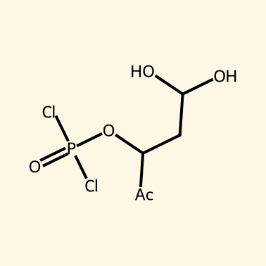 CC(=O)C(CC(O)O)OP(=O)(Cl)Cl